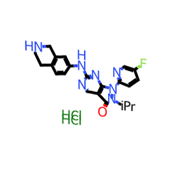 CC(C)n1c(=O)c2cnc(Nc3ccc4c(c3)CNCC4)nc2n1-c1ccc(F)cn1.Cl.Cl